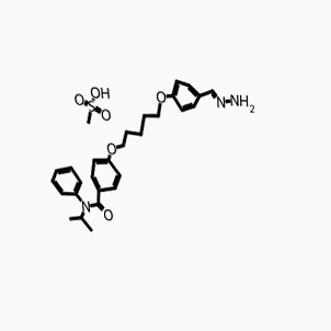 CC(C)N(C(=O)c1ccc(OCCCCCOc2ccc(C=NN)cc2)cc1)c1ccccc1.CS(=O)(=O)O